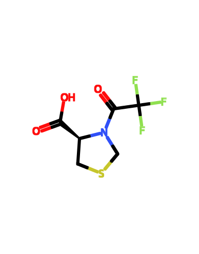 O=C(O)[C@@H]1CSCN1C(=O)C(F)(F)F